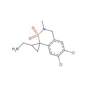 CN1Cc2cc(Cl)c(Cl)cc2C2(CC2CN)S1(=O)=O